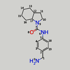 NCc1ccc(NC(=O)N2CCC3CCCCC32)cc1